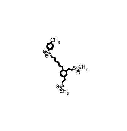 Cc1ccc(S(=O)(=O)SCCCCCCC2CCC(CCS[S+](C)[O-])CC2CCS[S+](C)[O-])cc1